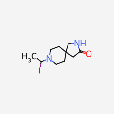 CC(I)N1CCC2(CC1)CNC(=O)C2